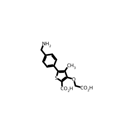 Cc1c(-c2ccc(CN)cc2)sc(C(=O)O)c1OCC(=O)O